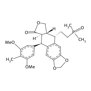 COc1cc([C@@H]2c3cc4c(cc3[C@@H](CCP(C)(C)=O)[C@H]3COC(=O)[C@H]23)OCO4)cc(OC)c1C